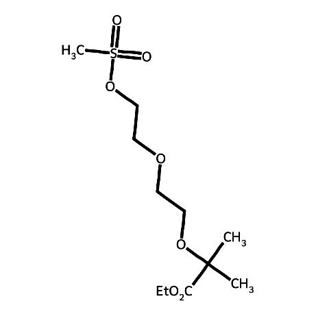 CCOC(=O)C(C)(C)OCCOCCOS(C)(=O)=O